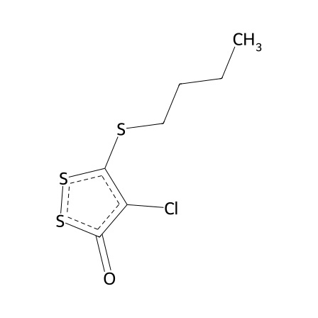 CCCCSc1ssc(=O)c1Cl